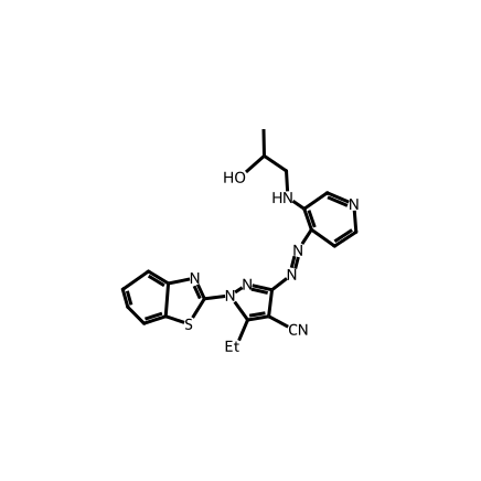 CCc1c(C#N)c(N=Nc2ccncc2NCC(C)O)nn1-c1nc2ccccc2s1